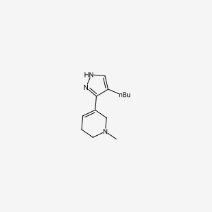 CCCCc1c[nH]nc1C1=CCCN(C)C1